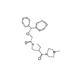 CN1CCN(C(=O)C2CCN(C(=O)COC(c3ccccc3)c3ccccc3)CC2)CC1